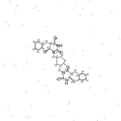 O=C1NC(=O)N(CC2CCCC(CN3C(=O)NC(=O)C(Cc4ccccc4)C3=O)C2)C(=O)C1Cc1ccccc1